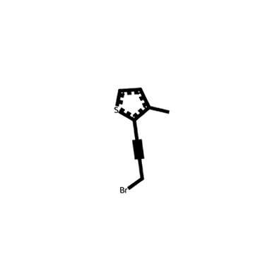 Cc1ccsc1C#CCBr